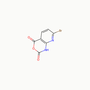 O=c1[nH]c2nc(Br)ccc2c(=O)o1